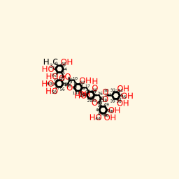 Cc1c(O)cc(C(=O)O[C@@H]2Cc3c(cc(O)c(Cc4c(O)cc5c(c4O)C[C@@H](OC(=O)c4cc(O)c(O)c(O)c4)[C@@H](c4cc(O)c(O)c(O)c4)O5)c3O)O[C@@H]2c2cc(O)c(O)c(O)c2)cc1O